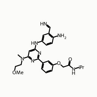 COCCN(C)c1cc(Nc2ccc(N)c(C=N)c2)nc(-c2cccc(OCC(=O)NC(C)C)c2)n1